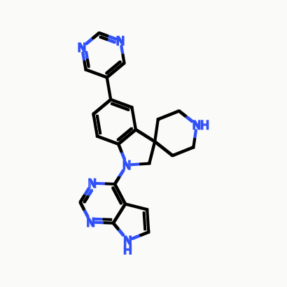 c1ncc(-c2ccc3c(c2)C2(CCNCC2)CN3c2ncnc3[nH]ccc23)cn1